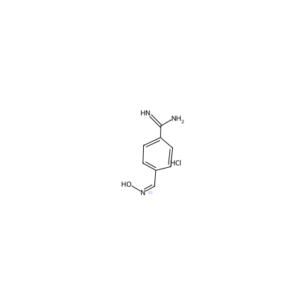 Cl.N=C(N)c1ccc(/C=N\O)cc1